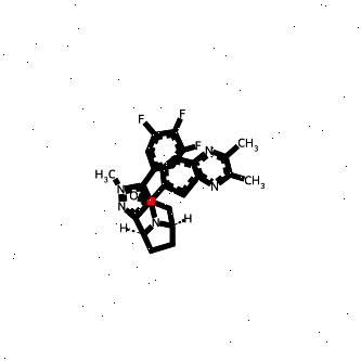 Cc1nc2ccc(C(=O)N3[C@@H]4CC[C@H]3c3nn(C)c(-c5cc(F)c(F)c(F)c5)c3C4)cc2nc1C